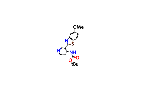 COc1ccc2sc(-c3cnccc3NC(=O)OC(C)(C)C)nc2c1